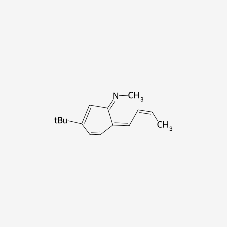 C\C=C/C=C1/C=CC(C(C)(C)C)=C/C1=N/C